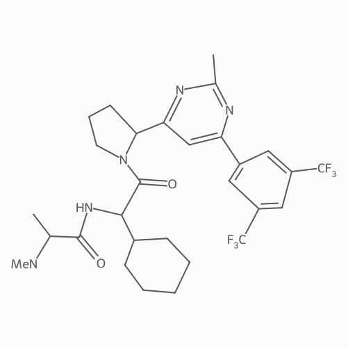 CNC(C)C(=O)NC(C(=O)N1CCCC1c1cc(-c2cc(C(F)(F)F)cc(C(F)(F)F)c2)nc(C)n1)C1CCCCC1